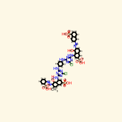 Cc1cc2cc(S(=O)(=O)O)cc(Nc3nc(Cl)nc(Nc4ccc(Nc5nc(Cl)nc(Nc6cc(S(=O)(=O)O)cc7ccc(/N=N/c8ccc9c(S(=O)(=O)O)cccc9c8)c(O)c67)n5)cc4)n3)c2c(O)c1/N=N/c1ccccc1S(=O)(=O)O